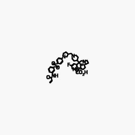 C=CC(=O)Nc1cccc(S(=O)(=O)c2ccc(N3CCC(CN4CCC(C(CN5CCC5)(c5cccc(F)c5)[C@H]5CCC[C@@H]5NC(=O)O)CC4)C3)cc2)c1